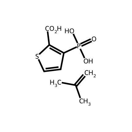 C=C(C)C.O=C(O)c1sccc1P(=O)(O)O